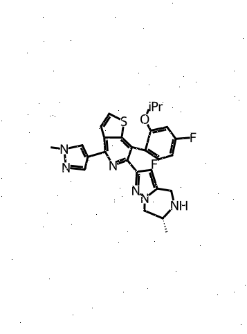 CC(C)Oc1cc(F)cc(F)c1-c1c(-c2cc3n(n2)C[C@@H](C)NC3)nc(-c2cnn(C)c2)c2ccsc12